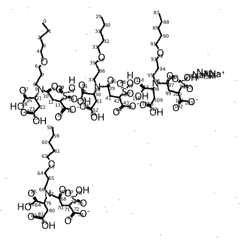 CCCCCOCCCN(C(=O)CC(C(=O)[O-])S(=O)(=O)O)C(CC(=O)O)C(=O)O.CCCCCOCCCN(C(=O)CC(C(=O)[O-])S(=O)(=O)O)C(CC(=O)O)C(=O)O.CCCCCOCCCN(C(=O)CC(C(=O)[O-])S(=O)(=O)O)C(CC(=O)O)C(=O)O.CCCCCOCCCN(C(=O)CC(C(=O)[O-])S(=O)(=O)O)C(CC(=O)O)C(=O)O.[Na+].[Na+].[Na+].[Na+]